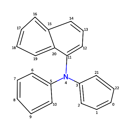 c1ccc(N(c2ccccc2)c2cccc3ccccc23)cc1